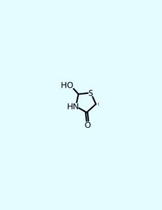 O=C1[C]SC(O)N1